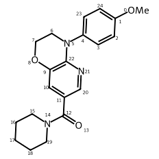 COc1ccc(N2CCOc3cc(C(=O)N4CCCCC4)cnc32)cc1